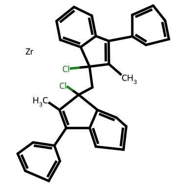 CC1=C(c2ccccc2)c2ccccc2C1(Cl)CC1(Cl)C(C)=C(c2ccccc2)c2ccccc21.[Zr]